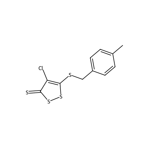 Cc1ccc(CSc2ssc(=S)c2Cl)cc1